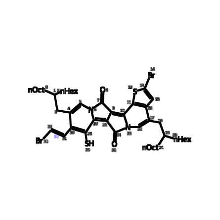 CCCCCCCCC(CCCCCC)CC1=CN2C(=O)C3=C4c5sc(Br)cc5C(CC(CCCCCC)CCCCCCCC)=CN4C(=O)C3=C2C(S)=C1/C=C/Br